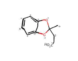 CC1(CC(=O)O)Oc2ccccc2O1